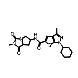 Cc1nn(C2CCCCC2)c2sc(C(=O)NC3CC4C(=O)N(C)C(=O)N4C3)cc12